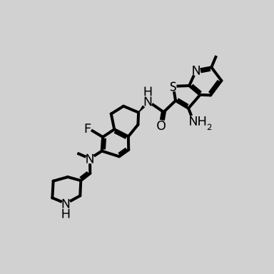 Cc1ccc2c(N)c(C(=O)N[C@@H]3CCc4c(ccc(N(C)/C=C5\CCCNC5)c4F)C3)sc2n1